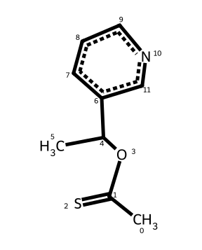 CC(=S)OC(C)c1cccnc1